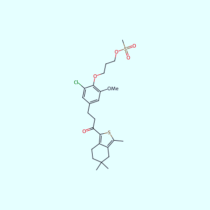 COc1cc(CCC(=O)c2sc(C)c3c2CCC(C)(C)C3)cc(Cl)c1OCCCOS(C)(=O)=O